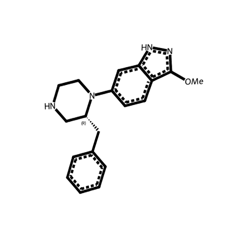 COc1n[nH]c2cc(N3CCNC[C@H]3Cc3ccccc3)ccc12